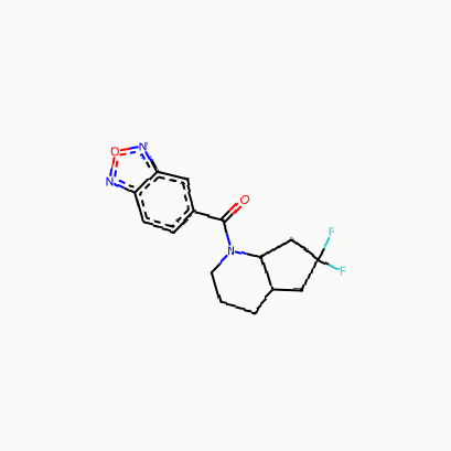 O=C(c1ccc2nonc2c1)N1CCCC2CC(F)(F)CC21